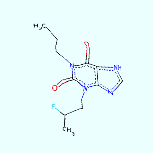 CCCn1c(=O)c2[nH]cnc2n(CC(C)F)c1=O